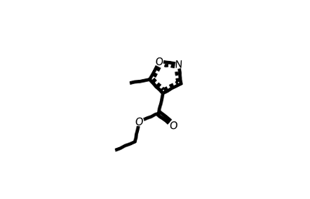 CCOC(=O)c1cnoc1C